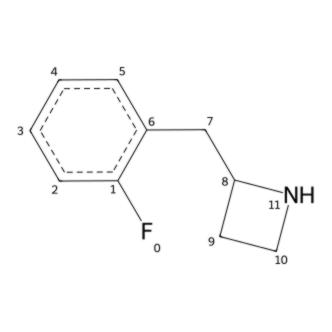 Fc1ccccc1CC1CCN1